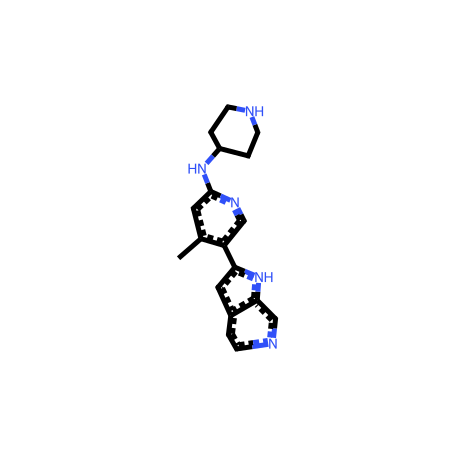 Cc1cc(NC2CCNCC2)ncc1-c1cc2ccncc2[nH]1